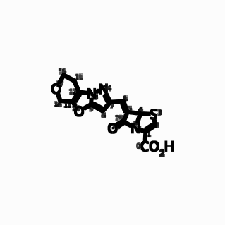 O=C(O)C1=CSC2C(=Cc3cc4oc5c(n4n3)CCOC5)C(=O)N12